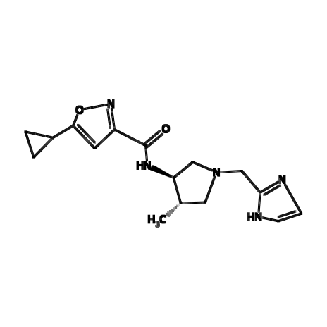 C[C@H]1CN(Cc2ncc[nH]2)C[C@@H]1NC(=O)c1cc(C2CC2)on1